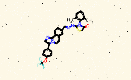 Cc1cccc(C)c1N1C(=O)CSC1=NN=Cc1ccc2c(ccn3c(-c4ccc(OC(F)(F)F)cc4)cnc23)c1